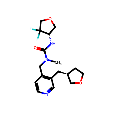 CN(Cc1ccncc1C[C@H]1CCOC1)C(=O)N[C@H]1COCC1(F)F